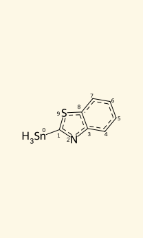 [SnH3][c]1nc2ccccc2s1